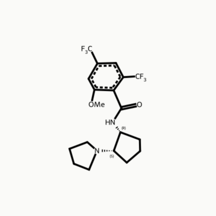 COc1cc(C(F)(F)F)cc(C(F)(F)F)c1C(=O)N[C@@H]1CCC[C@@H]1N1CCCC1